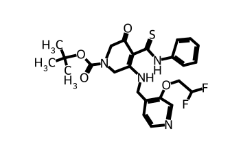 CC(C)(C)OC(=O)N1CC(=O)C(C(=S)Nc2ccccc2)=C(NCc2ccncc2OCC(F)F)C1